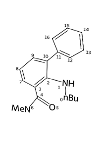 CCCCNc1c(C(=O)NC)cccc1-c1ccccc1